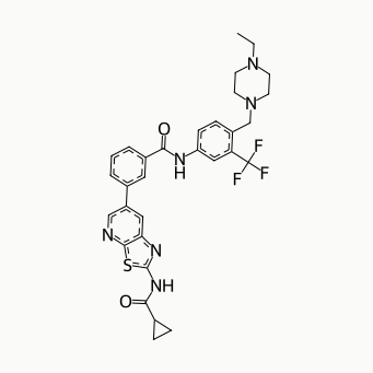 CCN1CCN(Cc2ccc(NC(=O)c3cccc(-c4cnc5sc(NC(=O)C6CC6)nc5c4)c3)cc2C(F)(F)F)CC1